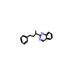 CC(CCc1ccccc1)c1ncc2ccccc2n1